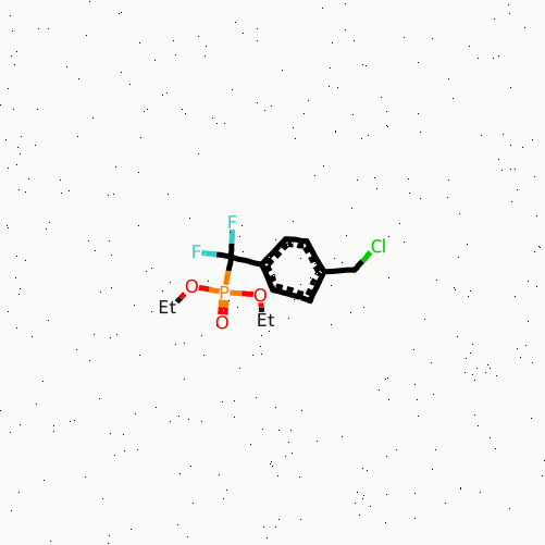 CCOP(=O)(OCC)C(F)(F)c1ccc(CCl)cc1